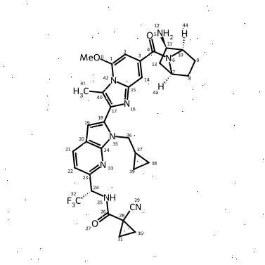 COc1cc(C(=O)N2[C@H]3CC[C@@H]2[C@H](N)C3)cc2nc(-c3cc4ccc([C@H](NC(=O)C5(C#N)CC5)C(F)(F)F)nc4n3CC3CC3)c(C)n12